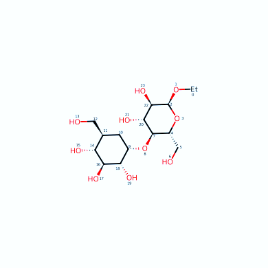 CCO[C@H]1O[C@H](CO)[C@@H](O[C@H]2C[C@H](CO)[C@@H](O)[C@H](O)[C@H]2O)[C@H](O)[C@H]1O